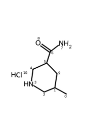 CC1CNCC(C(N)=O)C1.Cl